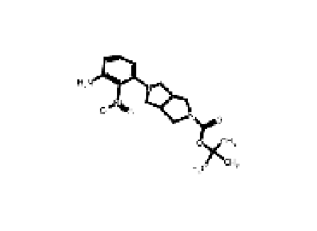 CC(C)(C)OC(=O)N1CC2CN(c3cccc(N)c3[N+](=O)[O-])CC2C1